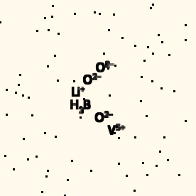 B.[Li+].[O-2].[O-2].[O-2].[V+5]